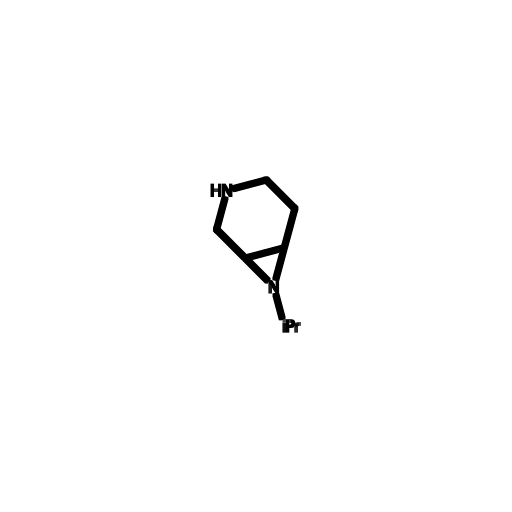 CC(C)N1C2CCNCC21